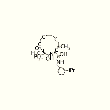 CC(C)c1cccc(CNC[C@@H](O)[C@@H]2C[C@H](C)CCCCCCCCC(=O)N(C)[C@@H](C)C(=O)N2)c1